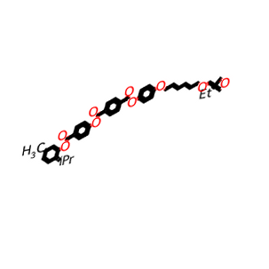 CCC1(COCCCCCCOc2ccc(OC(=O)c3ccc(C(=O)Oc4ccc(C(=O)OC5CC(C)CCC5C(C)C)cc4)cc3)cc2)COC1